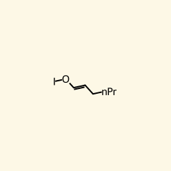 CCCCC=COI